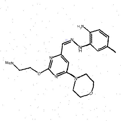 CNCCOc1nc(/C=N\Nc2cc(C)ccc2N)cc(N2CCOCC2)n1